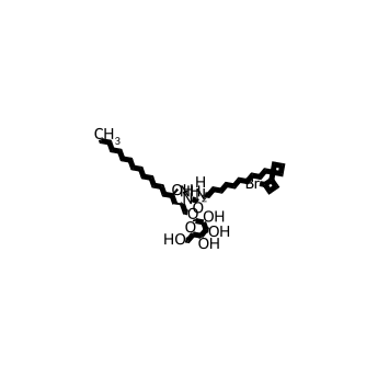 CCCCCCCCCCCCCC[C@@H](O)C[C@H](COC1OC(CO)C(O)C(O)C1O)N(N)C(=O)NCCCCCCCCCCC1(C2CCC2Br)CCC1